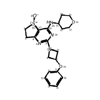 [O-][S@+]1CCc2nc(N3CC(Oc4ccccc4)C3)nc(NC3CCOCC3)c21